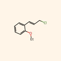 CCOc1ccccc1/C=C/CCl